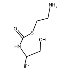 CC(C)C(CO)NC(=O)SCCN